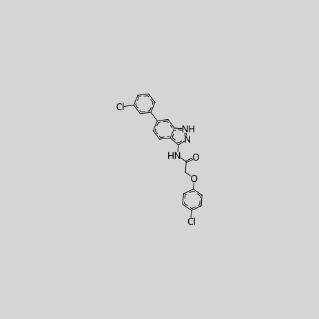 O=C(COc1ccc(Cl)cc1)Nc1n[nH]c2cc(-c3cccc(Cl)c3)ccc12